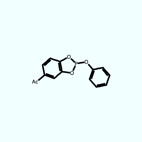 CC(=O)c1ccc2c(c1)OP(Oc1ccccc1)O2